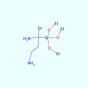 [CH2]CC(N)(CCN)[Si](OCC)(OCC)OCC